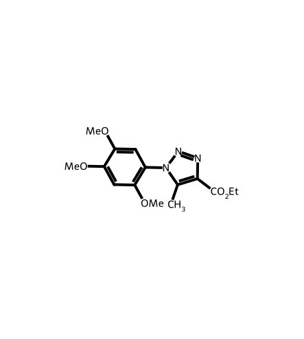 CCOC(=O)c1nnn(-c2cc(OC)c(OC)cc2OC)c1C